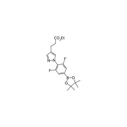 CCOC(=O)CCc1cnn(-c2c(F)cc(B3OC(C)(C)C(C)(C)O3)cc2F)c1